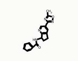 Cc1nc(-c2cnc3c(c2)CCC3NC(=O)c2ccccc2)no1